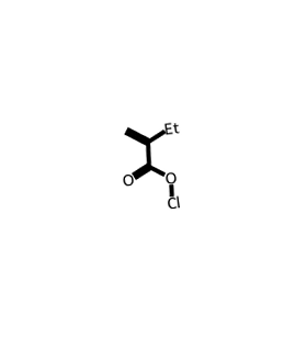 C=C(CC)C(=O)OCl